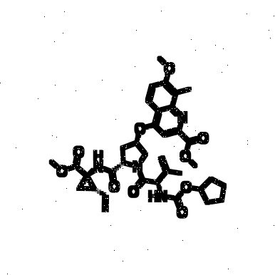 C=C[C@@H]1C[C@]1(NC(=O)[C@@H]1C[C@@H](Oc2cc(C(=O)OC)nc3c(C)c(OC)ccc23)CN1C(=O)[C@@H](NC(=O)OC1CCCC1)C(=C)C)C(=O)OC